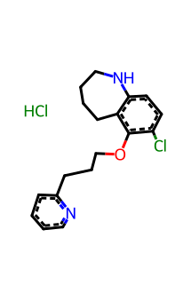 Cl.Clc1ccc2c(c1OCCCc1ccccn1)CCCCN2